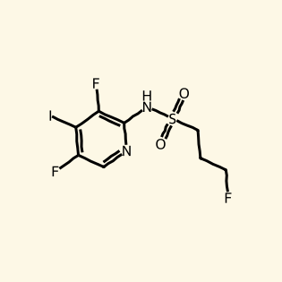 O=S(=O)(CCCF)Nc1ncc(F)c(I)c1F